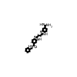 N=C(N)c1ccc2[nH]c(CCc3nc4ccc(C(=O)NCc5ccccc5)cc4[nH]3)nc2c1